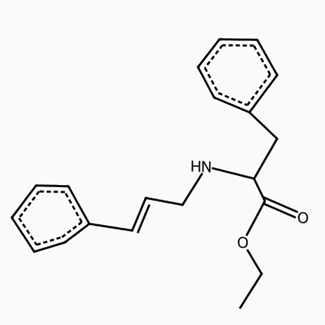 CCOC(=O)C(Cc1ccccc1)NC/C=C/c1ccccc1